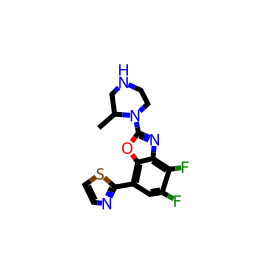 CC1CNCCN1c1nc2c(F)c(F)cc(-c3nccs3)c2o1